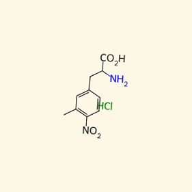 Cc1cc(CC(N)C(=O)O)ccc1[N+](=O)[O-].Cl